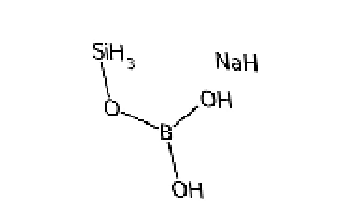 OB(O)O[SiH3].[NaH]